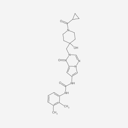 Cc1cccc(NC(=O)Nc2cc3c(=O)n(CC4(O)CCN(C(=O)C5CC5)CC4)cnn3c2)c1C